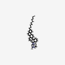 CCCCCCCCCCc1ccc2c(ccc3c4ccnc(-c5ccccc5/C(C)=C/O/C(C)=C\C(C)=O)c4ccc23)c1